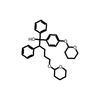 OC(c1ccccc1)(c1ccc(OC2CCCCO2)cc1)C(CCCOC1CCCCO1)c1ccccc1